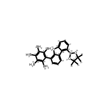 Bc1c(B)c(B)c(-c2cccc3c2oc2cccc(B4OC(C)(C)C(C)(C)O4)c23)c(B)c1B